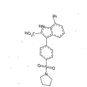 CC(C)c1cccc2c(-c3ccc(S(=O)(=O)N4CCCC4)cc3)c(C(=O)O)[nH]c12